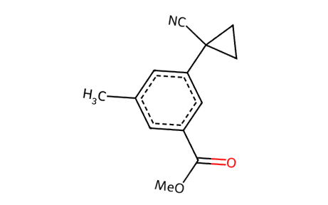 COC(=O)c1cc(C)cc(C2(C#N)CC2)c1